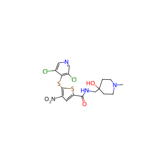 CN1CCC(O)(CNC(=O)c2cc([N+](=O)[O-])c(Sc3c(Cl)cncc3Cl)s2)CC1